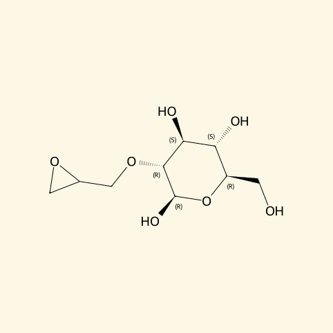 OC[C@H]1O[C@@H](O)[C@H](OCC2CO2)[C@@H](O)[C@@H]1O